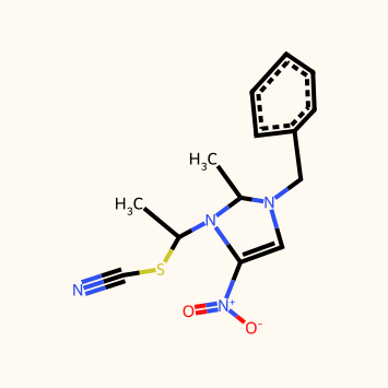 CC(SC#N)N1C([N+](=O)[O-])=CN(Cc2ccccc2)C1C